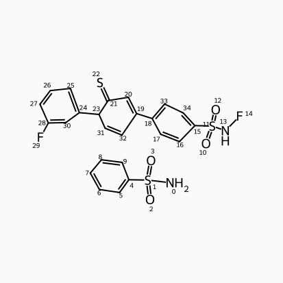 NS(=O)(=O)c1ccccc1.O=S(=O)(NF)c1ccc(C2=CC(=S)C(c3cccc(F)c3)C=C2)cc1